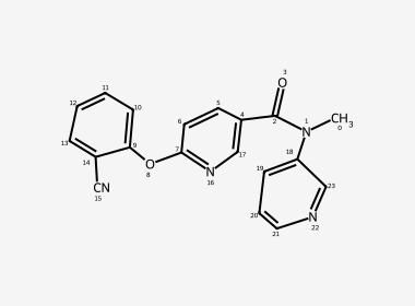 CN(C(=O)c1ccc(Oc2ccccc2C#N)nc1)c1cccnc1